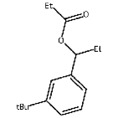 CCC(=O)OC(CC)c1cccc(C(C)(C)C)c1